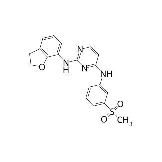 CS(=O)(=O)c1cccc(Nc2ccnc(Nc3cccc4c3OCC4)n2)c1